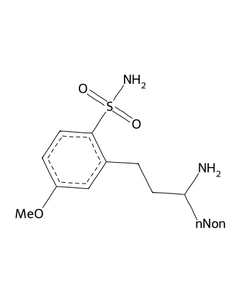 CCCCCCCCCC(N)CCc1cc(OC)ccc1S(N)(=O)=O